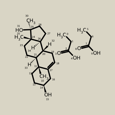 CCC(=O)O.CCC(=O)O.C[C@]12CC[C@H](O)CC1=CC[C@@H]1[C@@H]2CC[C@@]2(C)[C@H]1CC[C@]2(C)O